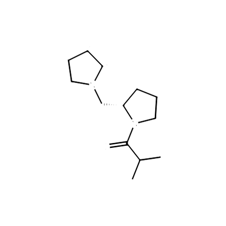 CC(C)C(=O)N1CCC[C@H]1CN1CCCC1